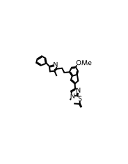 C=C(C)Sc1nc(C2=Cc3c(CCC4=C(C)CC(c5ccccc5)=N4)cc(OC)cc3C2)cn1C